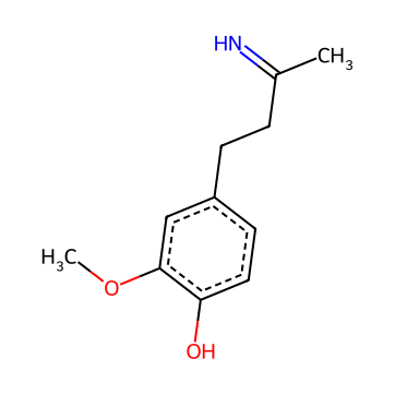 COc1cc(CCC(C)=N)ccc1O